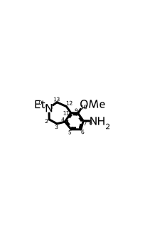 CCN1CCc2ccc(N)c(OC)c2CC1